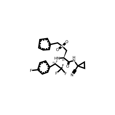 N#CC1(NC(=O)[C@H](CS(=O)(=O)Cc2ccccc2)N[C@@H](c2ccc(F)cc2)C(F)(F)F)CC1